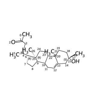 CC(=O)C[C@@H](C)[C@H]1CCC2C3CC=C4C[C@@](C)(O)CC[C@]4(C)C3CC[C@@]21C